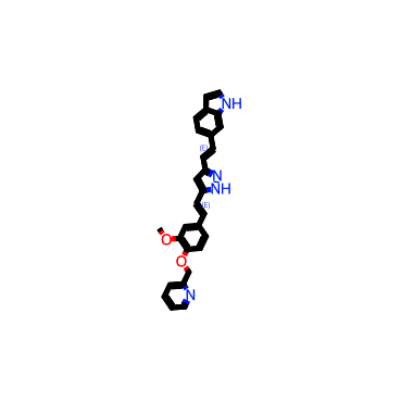 COc1cc(/C=C/c2cc(/C=C/c3ccc4cc[nH]c4c3)n[nH]2)ccc1OCc1ccccn1